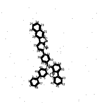 c1ccc(-c2ccc(N(c3ccc(-c4ccc5c(n4)sc4cc6ccccc6cc45)cc3)c3cccc4c3oc3ccccc34)cc2)cc1